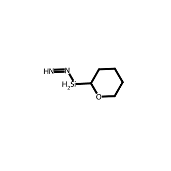 N=N[SiH2]C1CCCCO1